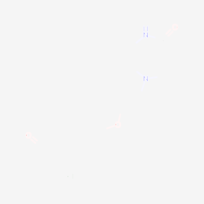 O=Cc1ccc(OCCN2CCNC(=O)CC2)cc1Cl